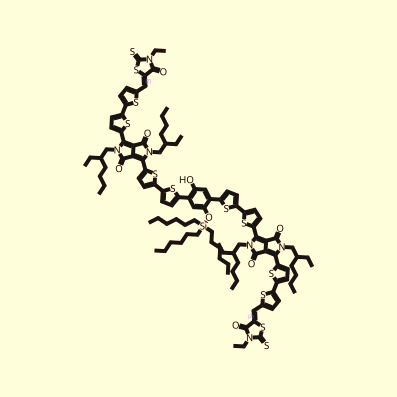 CCCCCC[Si](CCCCCC)(CCCCCC)Oc1cc(-c2ccc(-c3ccc(C4=C5C(=O)N(CC(CC)CCCC)C(c6ccc(-c7ccc(/C=C8\SC(=S)N(CC)C8=O)s7)s6)=C5C(=O)N4CC(CC)CCCC)s3)s2)c(O)cc1-c1ccc(-c2ccc(C3=C4C(=O)N(CC(CC)CCCC)C(c5ccc(-c6ccc(/C=C7\SC(=S)N(CC)C7=O)s6)s5)=C4C(=O)N3CC(CC)CCCC)s2)s1